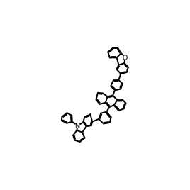 C1=CC2c3cc(-c4cccc(-c5c6ccccc6c(-c6ccc(-c7ccc8oc9ccccc9c8c7)cc6)c6ccccc56)c4)ccc3N(c3ccccc3)C2C=C1